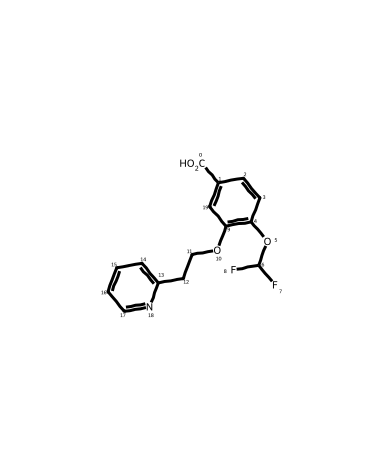 O=C(O)c1ccc(OC(F)F)c(OCCc2ccccn2)c1